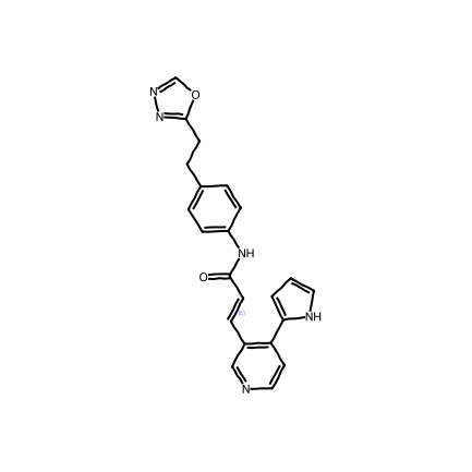 O=C(/C=C/c1cnccc1-c1ccc[nH]1)Nc1ccc(CCc2nnco2)cc1